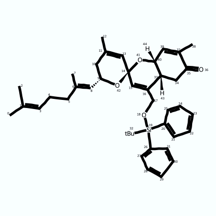 CC(C)=CCC/C(C)=C/[C@@H]1CC(C)=C[C@]2(C=C(CO[Si](c3ccccc3)(c3ccccc3)C(C)(C)C)[C@H]3CC(=O)C(C)=C[C@H]3O2)O1